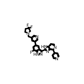 Fc1cc(-c2cncc(CN3CCC(F)(F)C3)c2)cc2c(-c3nc4c(-c5ccncc5)nccc4[nH]3)n[nH]c12